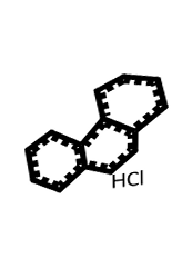 Cl.c1ccc2c(c1)ccc1ccccc12